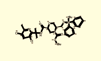 Cc1nc(C(C)(C)NC(=O)[C@@H]2CN(C(=O)OC(C)(C)C)[C@H](CO[Si](c3ccccc3)(c3ccccc3)C(C)(C)C)CO2)c(Cl)cc1Cl